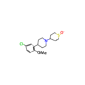 COc1ccc(Cl)cc1C1CCN(C2CC[S+]([O-])CC2)CC1